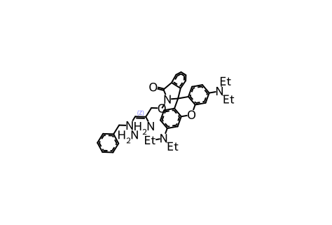 CCN(CC)c1ccc2c(c1)Oc1cc(N(CC)CC)ccc1C21c2ccccc2C(=O)N1OC/C(N)=C/N(N)Cc1ccccc1